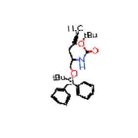 CC#CCC(CO[Si](c1ccccc1)(c1ccccc1)C(C)(C)C)NC(=O)OC(C)(C)C